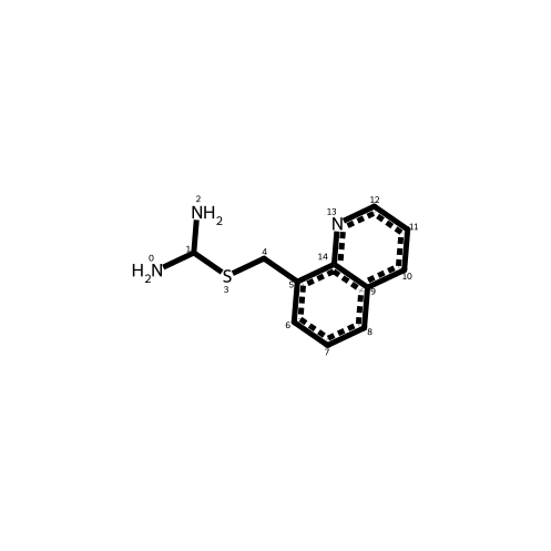 NC(N)SCc1cccc2cccnc12